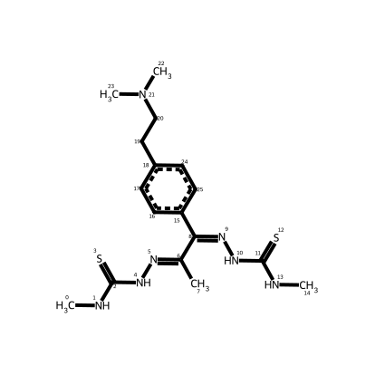 CNC(=S)NN=C(C)C(=NNC(=S)NC)c1ccc(CCN(C)C)cc1